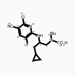 CC(C)(C)N(CC(CC1CC1)Nc1nc(Cl)c(C#N)cc1F)C(=O)O